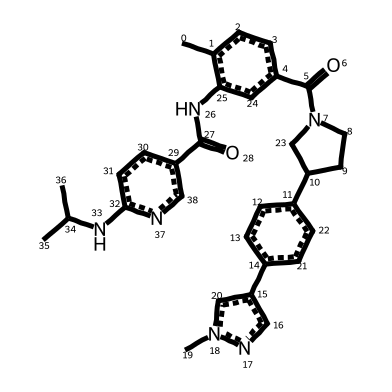 Cc1ccc(C(=O)N2CCC(c3ccc(-c4cnn(C)c4)cc3)C2)cc1NC(=O)c1ccc(NC(C)C)nc1